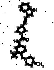 CN1CCN(Cc2ccc(NC(=O)N3CCC(C#CC4=CNC5C=CC=NN45)C3)cc2C(F)(F)F)CC1